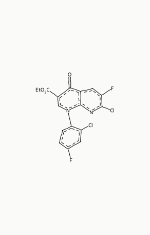 CCOC(=O)c1cn(-c2ccc(F)cc2Cl)c2nc(Cl)c(F)cc2c1=O